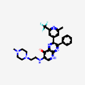 Cc1cc(-c2nc3c(=O)c(NCCN4CCN(C)CC4)c[nH]c3nc2-c2ccccc2)cc(C(F)(F)F)n1